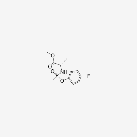 COC(=O)[C@H](C)NP(C)(=O)Oc1ccc(F)cc1